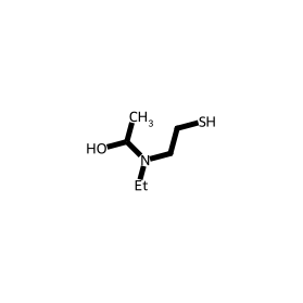 CCN(CCS)C(C)O